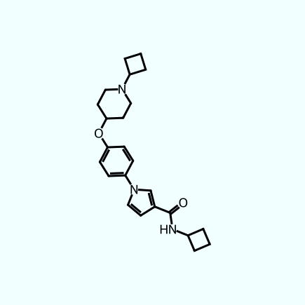 O=C(NC1CCC1)c1ccn(-c2ccc(OC3CCN(C4CCC4)CC3)cc2)c1